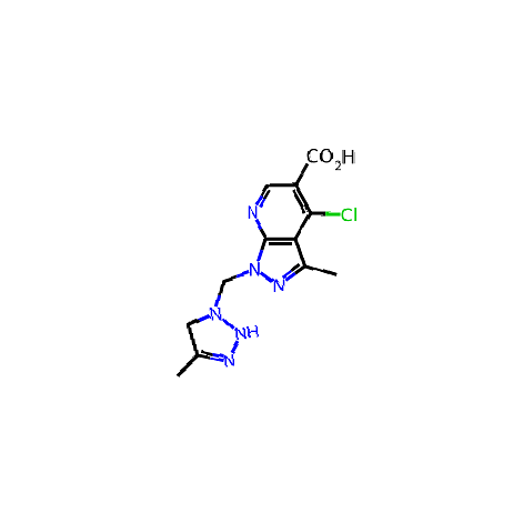 CC1=NNN(Cn2nc(C)c3c(Cl)c(C(=O)O)cnc32)C1